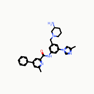 Cc1cn(-c2cc(CN3CCC[C@H](N)C3)cc(NC(=O)c3cc(-c4ccccc4)cc(C)n3)c2)cn1